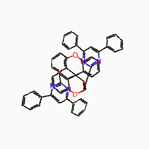 c1ccc(-c2cc(-c3ccccc3)nc(-c3cccc4c3C3(c5ccccc5O4)c4ccccc4Oc4cccc(-c5nc(-c6ccccc6)cc(-c6ccccc6)n5)c43)n2)cc1